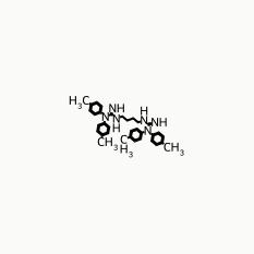 Cc1ccc(N(C(=N)NCCCCNC(=N)N(c2ccc(C)cc2)c2ccc(C)cc2)c2ccc(C)cc2)cc1